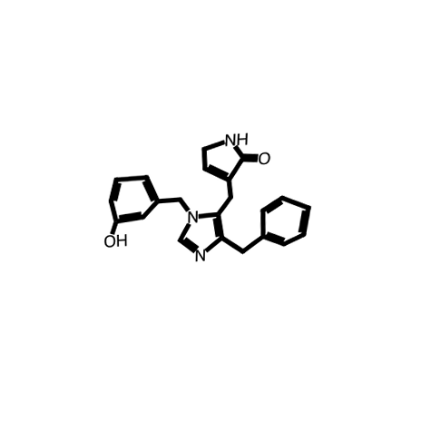 O=C1NCC=C1Cc1c(Cc2ccccc2)ncn1Cc1cccc(O)c1